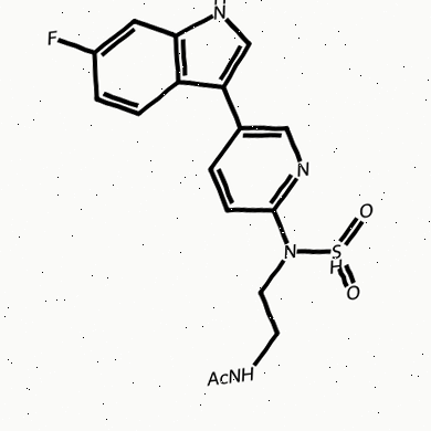 CC(=O)NCCN(c1ccc(-c2c[nH]c3cc(F)ccc23)cn1)[SH](=O)=O